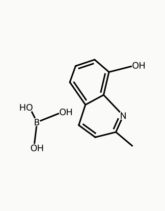 Cc1ccc2cccc(O)c2n1.OB(O)O